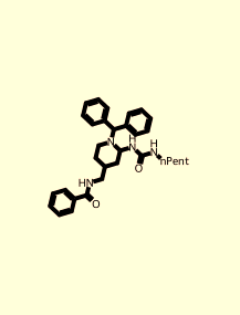 CCCCCNC(=O)NC1CC(CNC(=O)c2ccccc2)CCN1C(c1ccccc1)c1ccccc1